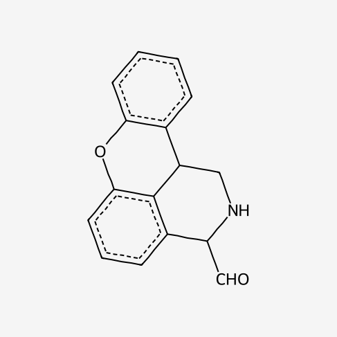 O=CC1NCC2c3ccccc3Oc3cccc1c32